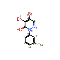 O=c1c(Br)c(Br)cnn1-c1cccc(F)c1